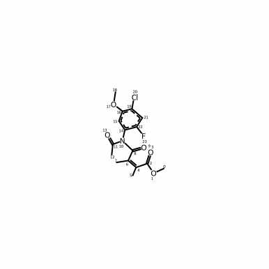 COC(=O)C(C)=C(C)C(=O)N(C(C)=O)c1cc(OC)c(Cl)cc1F